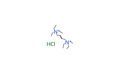 CC[N+](CC)(CC)CC=CC[N+](CC)(CC)CC.Cl